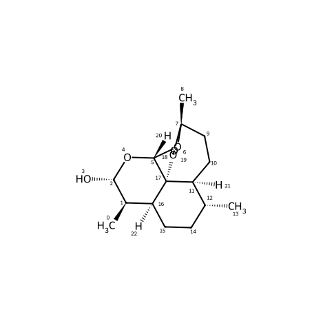 C[C@H]1[C@H](O)O[C@@H]2O[C@@]3(C)CC[C@H]4[C@H](C)CC[C@@H]1[C@@]24OO3